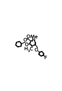 COC(=O)c1ncc(COc2ccc(F)cc2)c(C)c1OCc1ccccc1